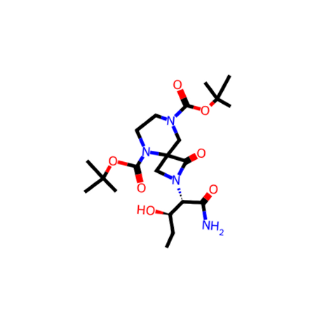 CC[C@@H](O)[C@@H](C(N)=O)N1CC2(CN(C(=O)OC(C)(C)C)CCN2C(=O)OC(C)(C)C)C1=O